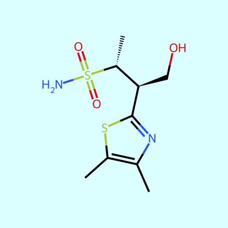 Cc1nc([C@H](CO)[C@@H](C)S(N)(=O)=O)sc1C